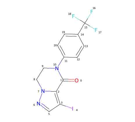 O=C1c2c(I)cnn2CCN1c1ccc(C(F)(F)F)cc1